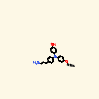 CCCCCCOc1ccc(N(c2ccc(O)cc2)c2ccc(CCCN)cc2)cc1